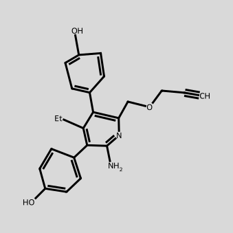 C#CCOCc1nc(N)c(-c2ccc(O)cc2)c(CC)c1-c1ccc(O)cc1